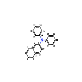 [c]1cccc2cc(N(c3ccccc3)c3ccccc3)ccc12